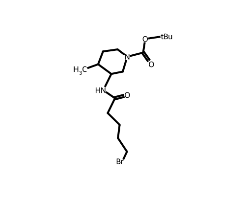 CC1CCN(C(=O)OC(C)(C)C)CC1NC(=O)CCCCBr